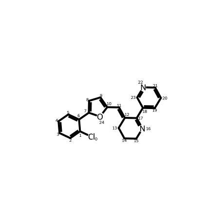 Clc1ccccc1-c1ccc(C=C2CCCN=C2c2cccnc2)o1